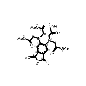 COC(=O)CN(CC(=O)OC)c1cc2c(cc1N(CC(=O)OC)CC(=O)OC)C(=O)OC2=O